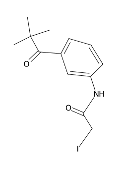 CC(C)(C)C(=O)c1cccc(NC(=O)CI)c1